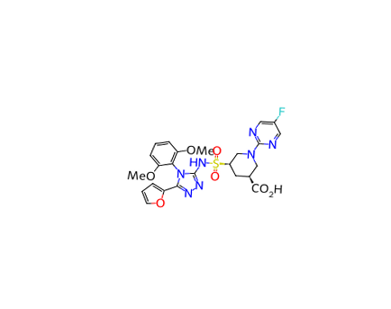 COc1cccc(OC)c1-n1c(NS(=O)(=O)[C@@H]2C[C@H](C(=O)O)CN(c3ncc(F)cn3)C2)nnc1-c1ccco1